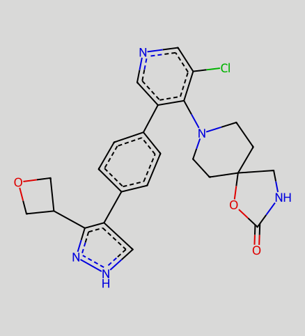 O=C1NCC2(CCN(c3c(Cl)cncc3-c3ccc(-c4c[nH]nc4C4COC4)cc3)CC2)O1